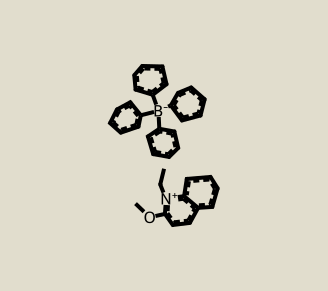 CC[n+]1c(OC)ccc2ccccc21.c1ccc([B-](c2ccccc2)(c2ccccc2)c2ccccc2)cc1